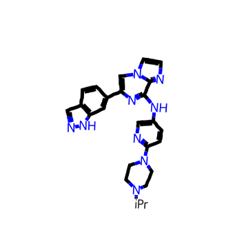 CC(C)N1CCN(c2ccc(Nc3nc(-c4ccc5cn[nH]c5c4)cn4ccnc34)cn2)CC1